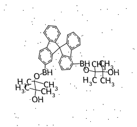 CC(C)(O)C(C)(C)OBc1ccc2c(c1)C1(c3ccccc3-2)c2ccccc2-c2c(BOC(C)(C)C(C)(C)O)cccc21